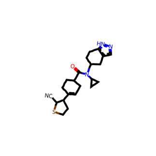 N#CC1SCCC1C1=CCC(C(=O)N(C2CC2)C2CCc3[nH]ncc3C2)CC1